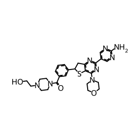 Nc1ncc(-c2nc3c(c(N4CCOCC4)n2)SC(c2cccc(C(=O)N4CCN(CCO)CC4)c2)C3)cn1